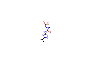 COC(CN(C)C(=O)Nc1nc(C(C)C)ns1)OC